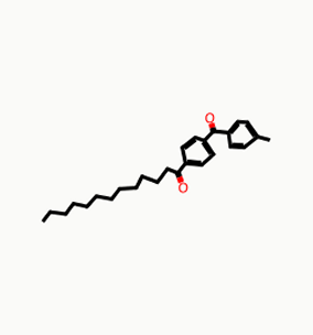 CCCCCCCCCCCCC(=O)c1ccc(C(=O)c2ccc(C)cc2)cc1